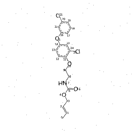 CC=CCOC(=O)NCCOc1ccc(Oc2cccc(Cl)c2)cc1Cl